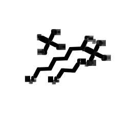 CCCC.CCCCCCCC.OP(O)(O)=S.OP(O)(O)=S